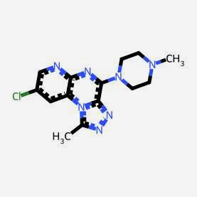 Cc1nnc2c(N3CCN(C)CC3)nc3ncc(Cl)cc3n12